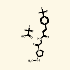 CN[C@H]1CCN(C(=O)CNC(=O)/C=C/c2ccc(C(F)(F)F)cc2)C1.O=C(O)C(F)(F)F